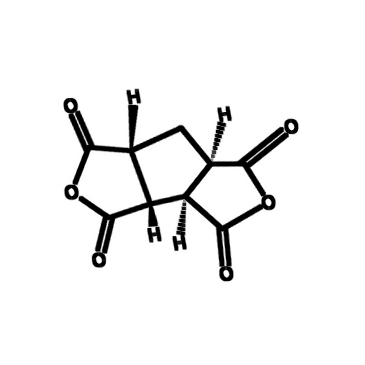 O=C1OC(=O)[C@@H]2C[C@H]3C(=O)OC(=O)[C@H]3[C@H]12